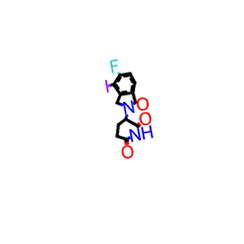 O=C1CCC(N2Cc3c(ccc(F)c3I)C2=O)C(=O)N1